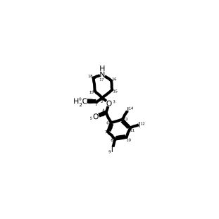 C=CC1(OC(=O)c2cc(I)cc(I)c2I)CCNCC1